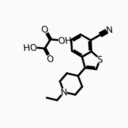 CCN1CCC(c2csc3c(C#N)cccc23)CC1.O=C(O)C(=O)O